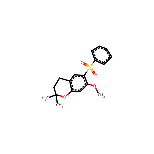 COc1cc2c(cc1S(=O)(=O)c1ccccc1)CCC(C)(C)O2